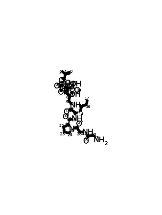 C=C(C)C(=O)OC(CCCNC(=O)[C@H](CCCC)NC(=O)[C@@H]1CCCN1C(=O)CNC(=O)CN)(P(=O)(O)O)P(=O)(O)O